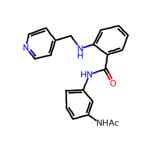 CC(=O)Nc1cccc(NC(=O)c2ccccc2NCc2ccncc2)c1